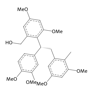 COc1cc(C[C@H](c2ccc(OC)c(OC)c2)c2c(CO)cc(OC)cc2OC)c(C)c(OC)c1